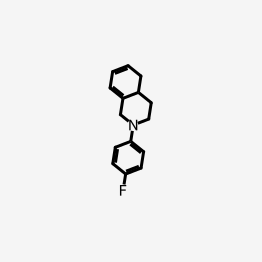 Fc1ccc(N2CCC3CC=CC=C3C2)cc1